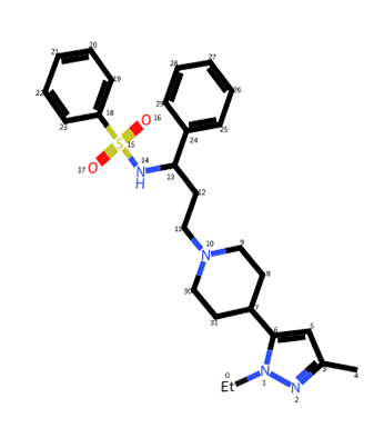 CCn1nc(C)cc1C1CCN(CCC(NS(=O)(=O)c2ccccc2)c2ccccc2)CC1